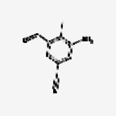 Cc1c(N)cc(C#N)cc1C=O